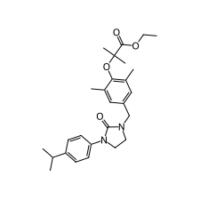 CCOC(=O)C(C)(C)Oc1c(C)cc(CN2CCN(c3ccc(C(C)C)cc3)C2=O)cc1C